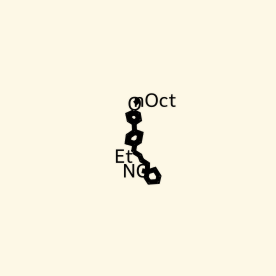 CCCCCCCCOc1ccc(-c2ccc(C(CC)CCCC3(C#N)CCCCC3)cc2)cc1